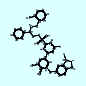 Cc1cc(-c2cc(F)c(=O)n(Cc3ccc4c(c3)N(C)CO4)c2)nc(S(=O)(=O)CCC(OCc2ccccc2F)c2ccccc2)n1